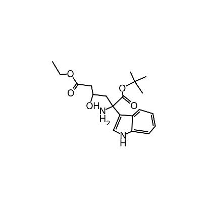 CCOC(=O)CC(O)CC(N)(C(=O)OC(C)(C)C)c1c[nH]c2ccccc12